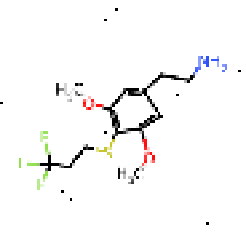 COc1cc(CCN)cc(OC)c1SCCC(F)(F)F